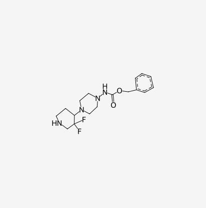 O=C(NN1CCN(C2CCNCC2(F)F)CC1)OCc1ccccc1